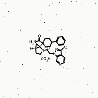 CC(=O)c1nn(CC(=O)N2[C@H](C(=O)O)C[C@H]3C[C@@]32C2(C(N)=O)CCC(c3ccccc3)CC2)c2cnccc12